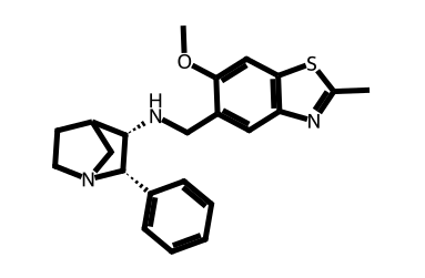 COc1cc2sc(C)nc2cc1CN[C@H]1C2CCN(C2)[C@H]1c1ccccc1